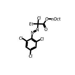 CCCCCCCCOC(=O)C(Cl)(CC)/N=N/c1c(Cl)cc(Cl)cc1Cl